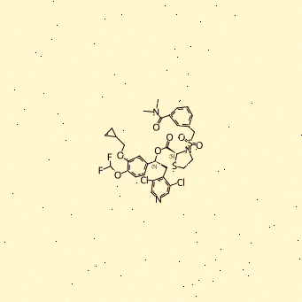 CN(C)C(=O)c1cccc(CS(=O)(=O)N2CCS[C@H]2C(=O)O[C@@H](Cc2c(Cl)cncc2Cl)c2ccc(OC(F)F)c(OCC3CC3)c2)c1